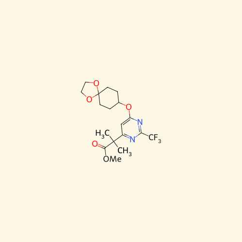 COC(=O)C(C)(C)c1cc(OC2CCC3(CC2)OCCO3)nc(C(F)(F)F)n1